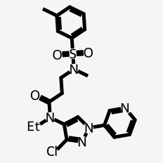 CCN(C(=O)CCN(C)S(=O)(=O)c1cccc(C)c1)c1cn(-c2cccnc2)nc1Cl